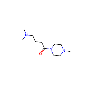 CN(C)CCCC(=O)N1CCN(C)CC1